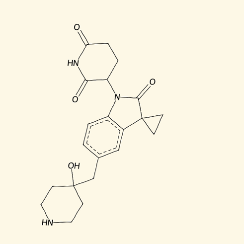 O=C1CCC(N2C(=O)C3(CC3)c3cc(CC4(O)CCNCC4)ccc32)C(=O)N1